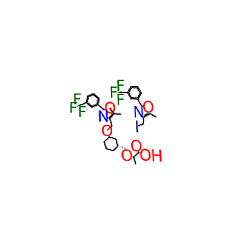 Cc1oc(-c2cccc(C(F)(F)F)c2)nc1CI.Cc1oc(-c2cccc(C(F)(F)F)c2)nc1CO[C@H]1CCC[C@@H](COC(C)C(=O)O)C1